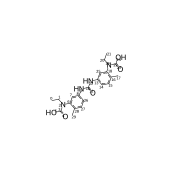 CCN(C(=O)O)c1cc(NC(=O)Nc2ccc(C)c(N(CC)C(=O)O)c2)ccc1C